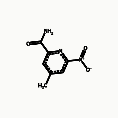 Cc1cc(C(N)=O)nc([N+](=O)[O-])c1